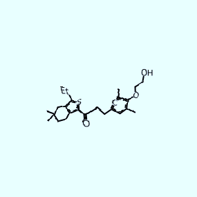 CCc1sc(C(=O)CCc2cc(C)c(OCCO)c(C)c2)c2c1CC(C)(C)CC2